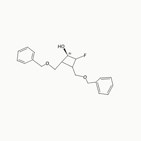 O[C@H]1C(F)C(COCc2ccccc2)C1COCc1ccccc1